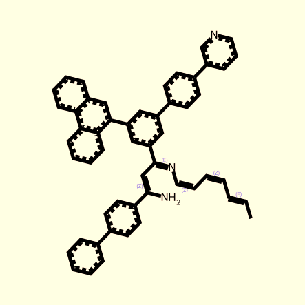 C/C=C/C=C\C=C/N=C(\C=C(/N)c1ccc(-c2ccccc2)cc1)c1cc(-c2ccc(-c3cccnc3)cc2)cc(-c2cc3ccccc3c3ccccc23)c1